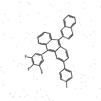 Cc1ccc(-c2ccc3c(-c4ccc5ccccc5c4)c4ccccc4c(-c4cc(F)c(F)c(F)c4)c3c2)cc1